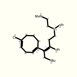 CCC/C(CCN(CCC)CCNC)=C(CC(C)(C)C)/C1=C/C/C=C(/Cl)CCC1